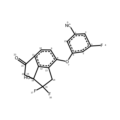 N#Cc1cc(F)cc(Oc2ccc3c4c2CC(F)(F)C4(O)CC3=O)c1